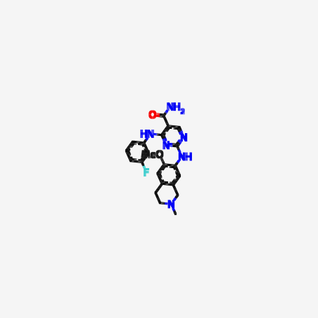 COc1cc2c(cc1Nc1ncc(C(N)=O)c(Nc3cccc(F)c3)n1)CN(C)CC2